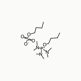 CCCCOS(=O)(=O)[O-].CCCCO[P+](N(C)C)(N(C)C)N(C)C